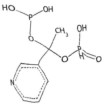 CC(OP(O)O)(O[PH](=O)O)c1cccnc1